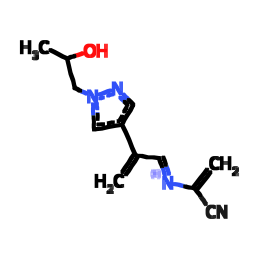 C=C(C#N)/N=C/C(=C)c1cnn(CC(C)O)c1